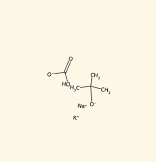 CC(C)(C)[O-].O=C([O-])O.[K+].[Na+]